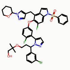 CC(C)(CO)OCCC(c1cccc(Br)c1)n1nccc1-c1cc(Oc2c(F)cc3c(ccn3S(=O)(=O)c3ccccc3)c2Cc2cnn(C3CCCCO3)c2)ccc1F